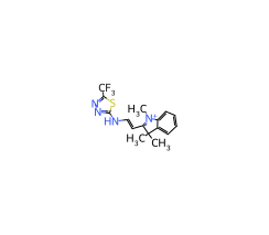 C[N+]1=C(C=CNc2nnc(C(F)(F)F)s2)C(C)(C)c2ccccc21